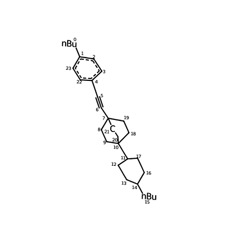 CCCCc1ccc(C#CC23CCC(C4CCC(CCCC)CC4)(CC2)CC3)cc1